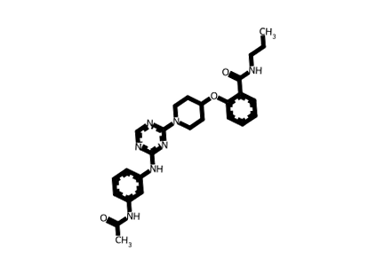 CCCNC(=O)c1ccccc1OC1CCN(c2ncnc(Nc3cccc(NC(C)=O)c3)n2)CC1